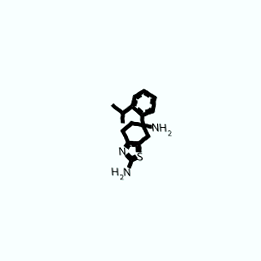 CC(C)c1ccccc1C1(N)CCc2nc(N)sc2C1